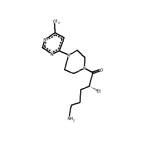 CC[C@H](CCCN)C(=O)N1CCN(c2cc(C(F)(F)F)ncn2)CC1